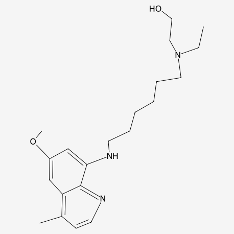 CCN(CCO)CCCCCCNc1cc(OC)cc2c(C)ccnc12